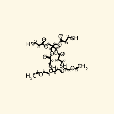 C=COCCOCCOCCOC=C.O=C(CCS)OCC(COC(=O)CCS)(COC(=O)CCS)COC(=O)CCS